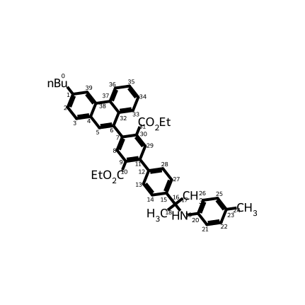 CCCCc1ccc2cc(-c3cc(C(=O)OCC)c(-c4ccc(C(C)(C)Nc5ccc(C)cc5)cc4)cc3C(=O)OCC)c3ccccc3c2c1